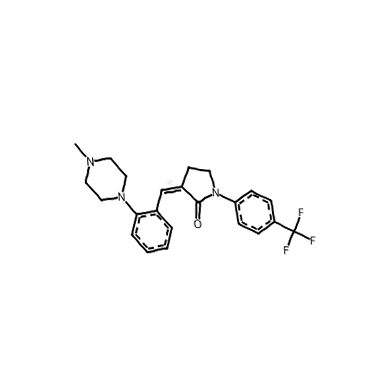 CN1CCN(c2ccccc2/C=C2/CCN(c3ccc(C(F)(F)F)cc3)C2=O)CC1